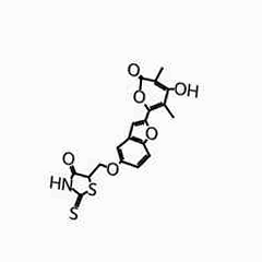 Cc1c(-c2cc3cc(OCC4SC(=S)NC4=O)ccc3o2)oc(=O)c(C)c1O